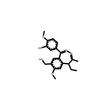 CCC1C(C)=NN=C(c2ccc(OC)c(O)c2)c2cc(CO)c(OC)cc21